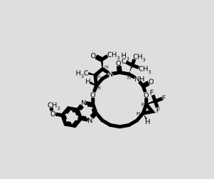 COc1ccc2nc3c(nc2c1)O[C@H]1CN(C(=O)[C@H](C(C)(C)C)NC(=O)O[C@]2(C(F)(F)F)C[C@H]2CCCCC3)[C@H](C(C)=O)[C@@H]1C